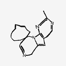 Cc1ncc2cc3n(c2n1)C1(C=NC3)CCCCC1